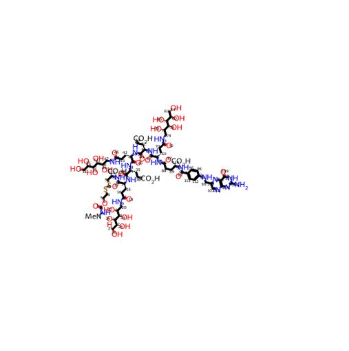 CNNC(=O)OCCSSC[C@@H](NC(=O)[C@H](CCC(=O)NC[C@H](O)[C@@H](O)[C@H](O)[C@H](O)CO)NC(=O)[C@@H](CCC(=O)O)NC(=O)[C@H](CCC(=O)NC[C@H](O)[C@@H](O)[C@H](O)[C@H](O)CO)NC(=O)[C@@H](CCC(=O)O)NC(=O)[C@H](CCC(=O)NC[C@H](O)[C@@H](O)[C@H](O)[C@H](O)CO)NC(=O)CC[C@@H](NC(=O)c1ccc(NCc2cnc3nc(N)[nH]c(=O)c3n2)cc1)C(=O)O)C(=O)O